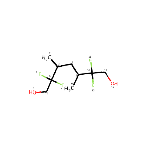 CC(CC(C)C(F)(F)CO)C(F)(F)CO